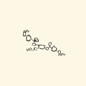 CCCOc1ccc(C(=O)Oc2ccc(OC(=O)c3ccc(OCCC)cc3)c(C(=O)O)c2)cc1